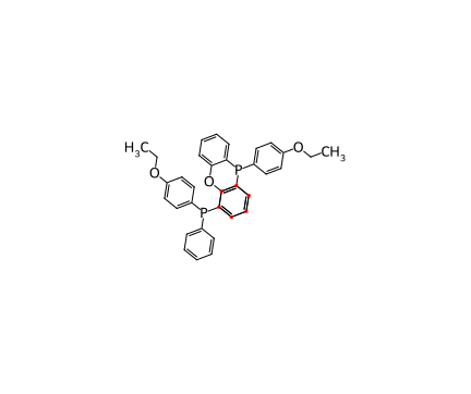 CCOc1ccc(P(c2ccccc2)c2ccccc2Oc2ccccc2P(c2ccccc2)c2ccc(OCC)cc2)cc1